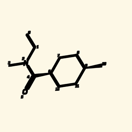 CCN(C)C(=O)[C@H]1CC[C@@H](C)CC1